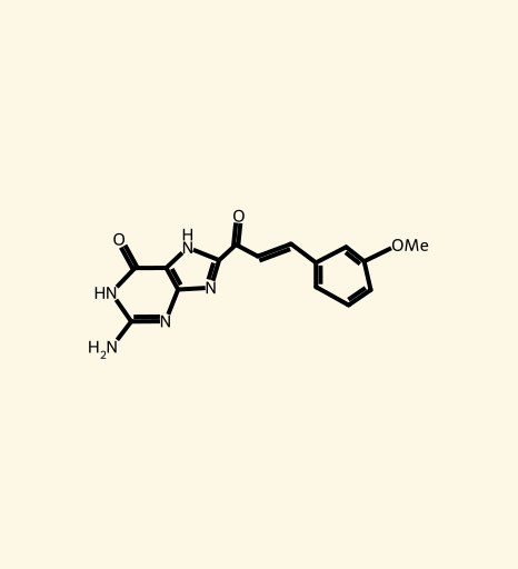 COc1cccc(C=CC(=O)c2nc3nc(N)[nH]c(=O)c3[nH]2)c1